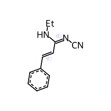 CCNC(/C=C/c1ccccc1)=N/C#N